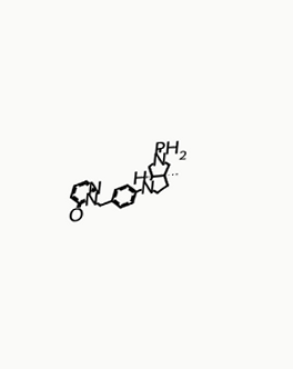 C[C@]12CCN(c3ccc(Cn4ncccc4=O)cc3)[C@H]1CN(P)C2